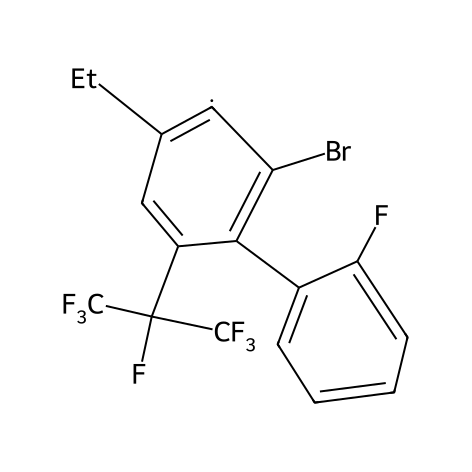 CCc1[c]c(Br)c(-c2ccccc2F)c(C(F)(C(F)(F)F)C(F)(F)F)c1